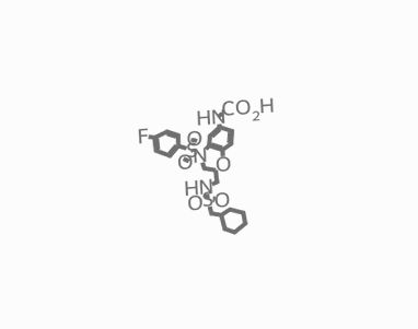 O=C(O)Nc1ccc2c(c1)N(S(=O)(=O)c1ccc(F)cc1)CC(CNS(=O)(=O)CC1CCCCC1)O2